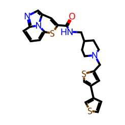 O=C(NCC1CCN(Cc2cc(-c3ccsc3)cs2)CC1)C1=Cc2cnc3cccc(n23)S1